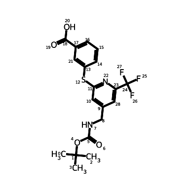 CC(C)(C)OC(=O)NCc1cc(Sc2cccc(C(=O)O)c2)nc(C(F)(F)F)c1